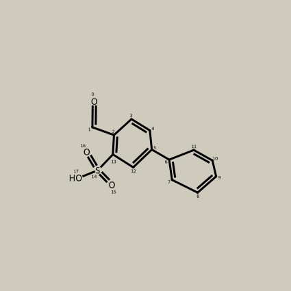 O=Cc1ccc(-c2ccccc2)cc1S(=O)(=O)O